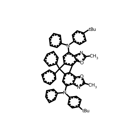 Cc1nc2c(N(c3ccccc3)c3ccc(C(C)(C)C)cc3)cc3c(c2o1)-c1c(cc(N(c2ccccc2)c2ccc(C(C)(C)C)cc2)c2nc(C)oc12)C3(c1ccccc1)c1ccccc1